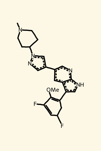 COC1=C(c2c[nH]c3ncc(-c4cnn(C5CCN(C)CC5)c4)cc23)CC(F)C=C1F